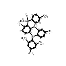 Cc1cc(C)c(N2c3ccc(C)cc3B3c4cc(C)ccc4C(C)(C)c4c(C)ccc2c43)c(C)c1